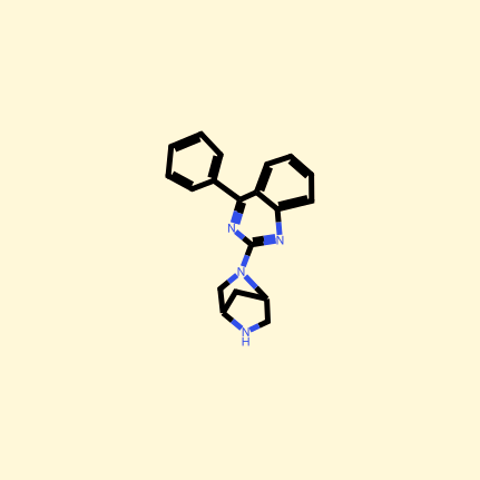 c1ccc(-c2nc(N3CC4CC3CN4)nc3ccccc23)cc1